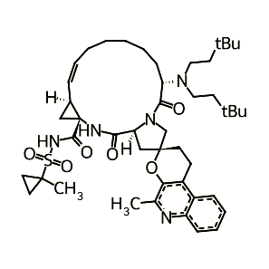 Cc1nc2ccccc2c2c1O[C@]1(CC2)C[C@H]2C(=O)N[C@]3(C(=O)NS(=O)(=O)C4(C)CC4)C[C@H]3/C=C\CCCCC[C@H](N(CCC(C)(C)C)CCC(C)(C)C)C(=O)N2C1